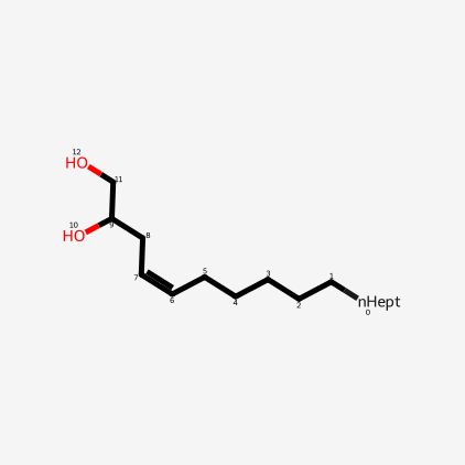 CCCCCCCCCCCC/C=C\CC(O)CO